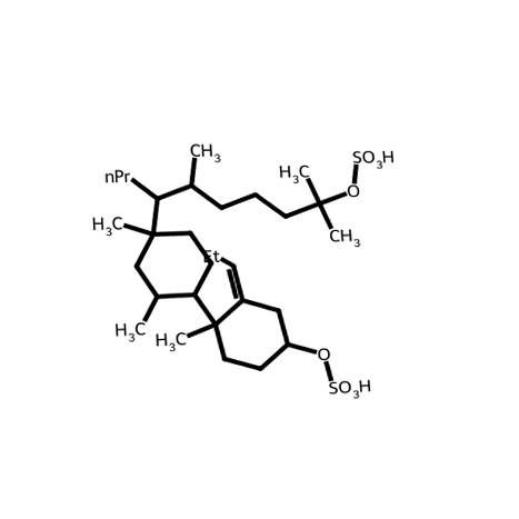 CC/C=C1/CC(OS(=O)(=O)O)CCC1(C)C1CCC(C)(C(CCC)C(C)CCCC(C)(C)OS(=O)(=O)O)CC1C